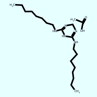 CC(=O)O.CCCCCCCCNC1=NCN=C(NCCCCCCCC)N1